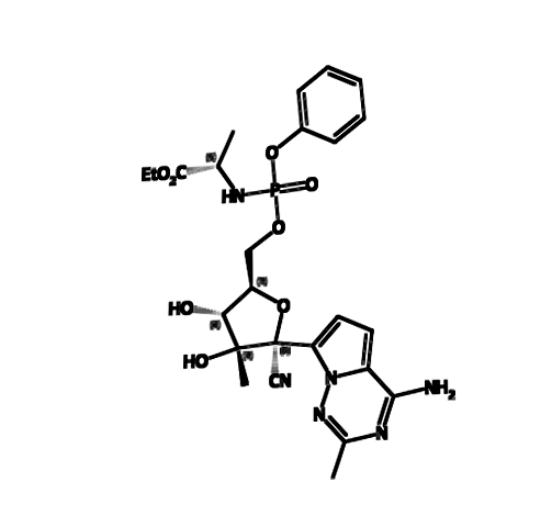 CCOC(=O)[C@H](C)NP(=O)(OC[C@H]1O[C@@](C#N)(c2ccc3c(N)nc(C)nn23)[C@](C)(O)[C@@H]1O)Oc1ccccc1